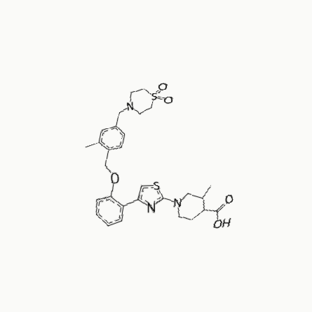 Cc1cc(CN2CCS(=O)(=O)CC2)ccc1COc1ccccc1-c1csc(N2CCC(C(=O)O)C(C)C2)n1